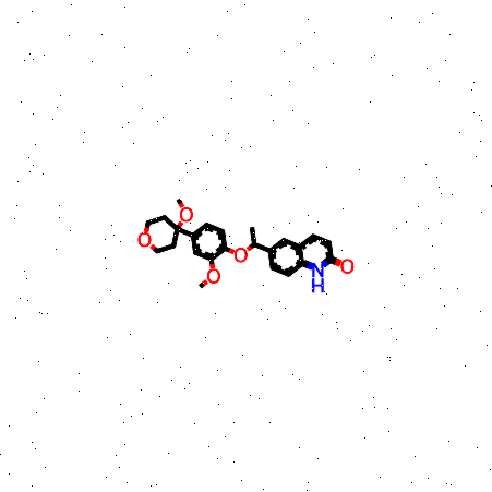 COc1cc(C2(OC)CCOCC2)ccc1OC(C)c1ccc2[nH]c(=O)ccc2c1